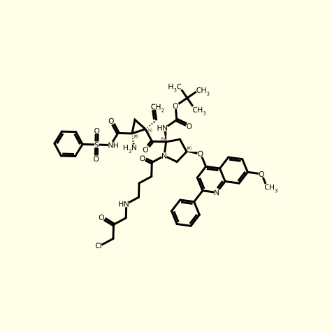 C=C[C@@]1(C(=O)[C@]2(NC(=O)OC(C)(C)C)C[C@@H](Oc3cc(-c4ccccc4)nc4cc(OC)ccc34)CN2C(=O)CCCNCC(=O)CCl)C[C@]1(N)C(=O)NS(=O)(=O)c1ccccc1